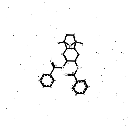 CC12CCC(C)(N1)C1CC(OC(=O)c3ccccc3)C(OC(=O)c3ccccc3)CC12